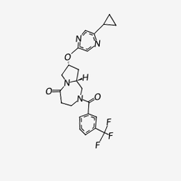 O=C(c1cccc(C(F)(F)F)c1)N1CCC(=O)N2C[C@H](Oc3cnc(C4CC4)cn3)C[C@@H]2C1